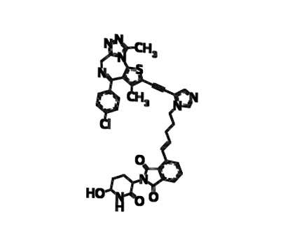 Cc1c(C#Cc2cncn2CCC/C=C/c2cccc3c2C(=O)N(C2CCC(O)NC2=O)C3=O)sc2c1C(c1ccc(Cl)cc1)=NCc1nnc(C)n1-2